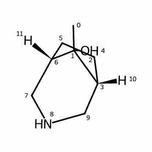 CC1(O)[C@@H]2CC[C@H]1CNC2